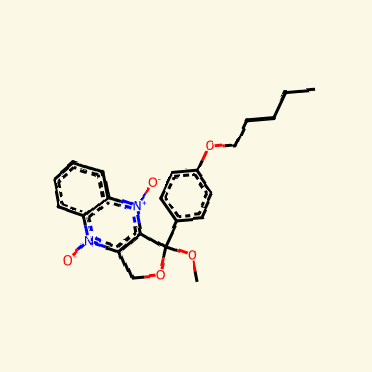 CCCCCOc1ccc(C2(OC)OCc3c2[n+]([O-])c2ccccc2[n+]3[O-])cc1